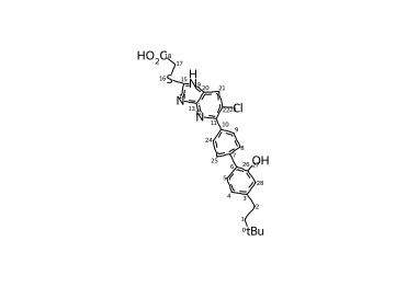 CC(C)(C)CCc1ccc(-c2ccc(-c3nc4nc(SCC(=O)O)[nH]c4cc3Cl)cc2)c(O)c1